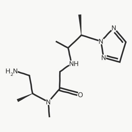 CC(NCC(=O)N(C)[C@@H](C)CN)[C@@H](C)n1nccn1